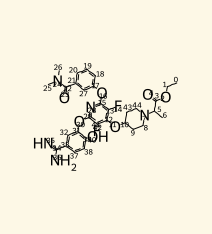 CCOC(=O)C(C)N1CCC(Oc2c(F)c(Oc3cccc(C(=O)N(C)C)c3)nc(Oc3cc(C(=N)N)ccc3O)c2F)CC1